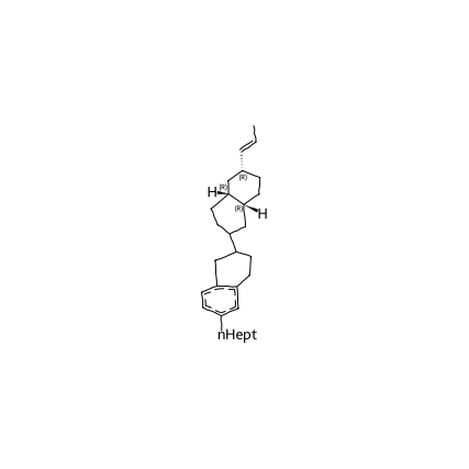 CC=C[C@@H]1CC[C@@H]2CC(C3CCc4cc(CCCCCCC)ccc4C3)CC[C@@H]2C1